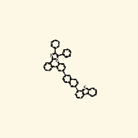 c1ccc(-c2nc3c4ccccc4c4cc(-c5ccc6cc(-c7cccc8c7sc7ccccc78)ccc6c5)ccc4n3c2-c2ccccc2)cc1